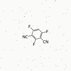 N#Cc1c(F)cc(F)c(C#N)c1F